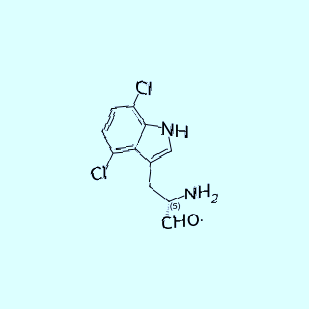 N[C@H]([C]=O)Cc1c[nH]c2c(Cl)ccc(Cl)c12